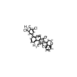 CC1C(Cl)=CC(c2cccc3c(N(C)CC(=O)O)c(C(=O)N[C@H]4CCOc5ccccc54)cnc23)=CC1Cl